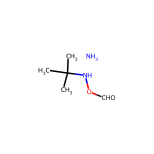 CC(C)(C)NOC=O.N